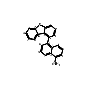 Nc1cccc2c(-c3cccc4sc5ccccc5c34)cccc12